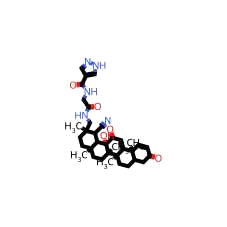 CC1(CNC(=O)CNC(=O)c2cn[nH]c2)CCC2(C)CCC3(C)C4(C)CCC5CC(=O)C=CC5(C)C4=CC(=O)C3(O)C2C1C#N